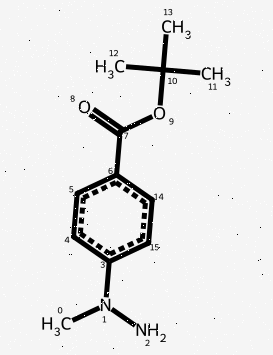 CN(N)c1ccc(C(=O)OC(C)(C)C)cc1